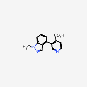 Cn1ncc2c(-c3cnccc3C(=O)O)cccc21